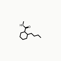 CCCCC1CCCCC1C(=O)NC